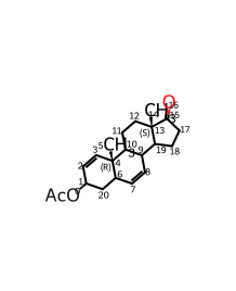 CC(=O)OC1C=C[C@@]2(C)C(C=CC3C2CC[C@]2(C)C(=O)CCC32)C1